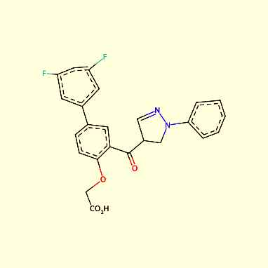 O=C(O)COc1ccc(-c2cc(F)cc(F)c2)cc1C(=O)C1C=NN(c2ccccc2)C1